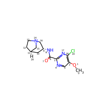 COc1cnc(C(=O)N[C@@H]2C[C@H]3CCN(C3)C2)nc1Cl